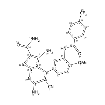 COc1ccc(-c2c(C#N)c(N)nc3sc(C(N)=O)c(N)c23)cc1NC(=O)c1ccc(C(F)(F)F)cc1